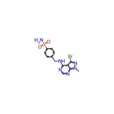 Cn1nc(Br)c2c(NCc3ccc(S(N)(=O)=O)cc3)ncnc21